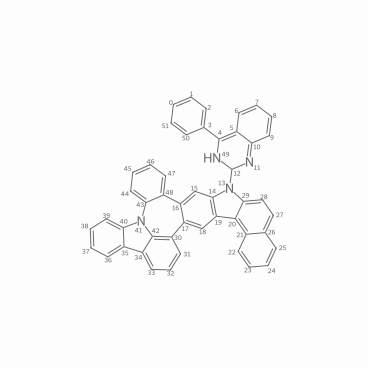 c1ccc(C2=c3ccccc3=NC(n3c4cc5c(cc4c4c6ccccc6ccc43)-c3cccc4c6ccccc6n(c34)-c3ccccc3-5)N2)cc1